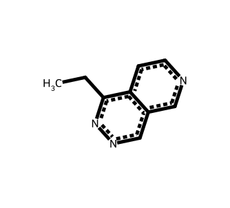 CCc1nncc2cnccc12